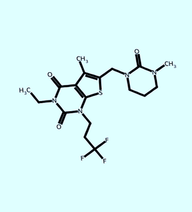 CCn1c(=O)c2c(C)c(CN3CCCN(C)C3=O)sc2n(CCC(F)(F)F)c1=O